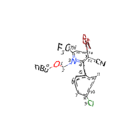 CCCCOCn1c(-c2ccc(Cl)cc2)c(C#N)c(Br)c1C(F)(F)F